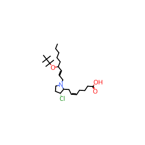 CCCCCC(/C=C/CN1CC[C@@H](Cl)C1C/C=C\CCCC(=O)O)OC(C)(C)C(C)(C)C